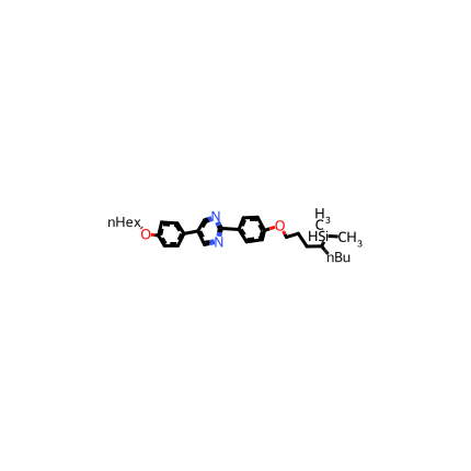 CCCCCCOc1ccc(-c2cnc(-c3ccc(OCCCC(CCCC)[SiH](C)C)cc3)nc2)cc1